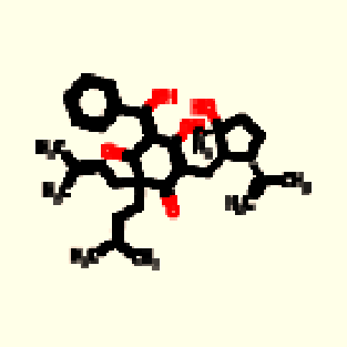 C=C(C)[C@H]1CC[C@](C)(O)[C@@H]1CC1=C(O)/C(=C(\O)c2ccccc2)C(=O)C(CC=C(C)C)(CC=C(C)C)C1=O